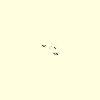 [Cr].[Mo].[V].[W]